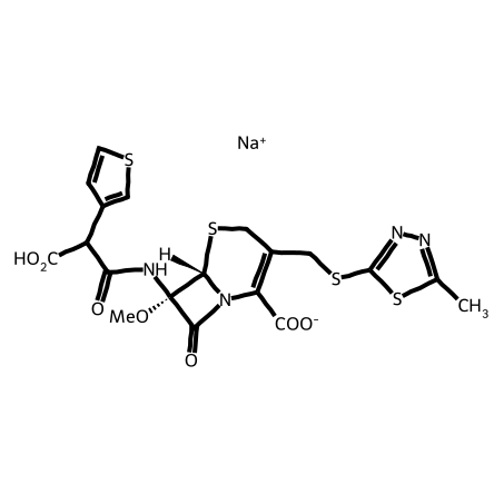 CO[C@@]1(NC(=O)C(C(=O)O)c2ccsc2)C(=O)N2C(C(=O)[O-])=C(CSc3nnc(C)s3)CS[C@H]21.[Na+]